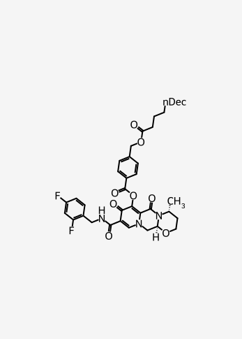 CCCCCCCCCCCCCC(=O)OCc1ccc(C(=O)Oc2c3n(cc(C(=O)NCc4ccc(F)cc4F)c2=O)C[C@@H]2OCC[C@@H](C)N2C3=O)cc1